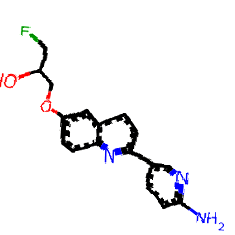 Nc1ccc(-c2ccc3cc(OCC(O)CF)ccc3n2)cn1